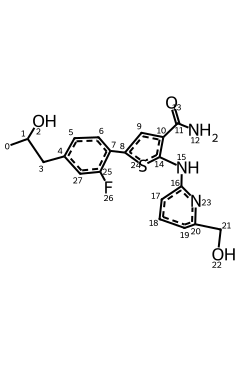 CC(O)Cc1ccc(-c2cc(C(N)=O)c(Nc3cccc(CO)n3)s2)c(F)c1